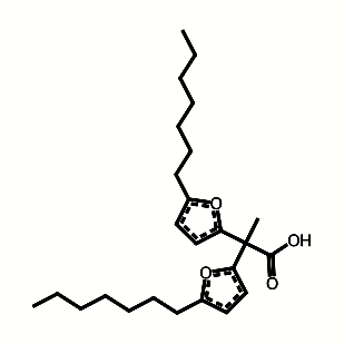 CCCCCCCc1ccc(C(C)(C(=O)O)c2ccc(CCCCCCC)o2)o1